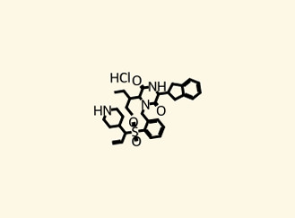 C=CC(C1CCNCC1)S(=O)(=O)c1ccccc1CN1C(=O)C(C2Cc3ccccc3C2)NC(=O)C1C(CC)CC.Cl